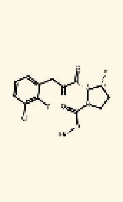 CC(C)(C)OC(=O)N1CC[C@@H](F)[C@H]1C(=O)NCc1cccc(Cl)c1F